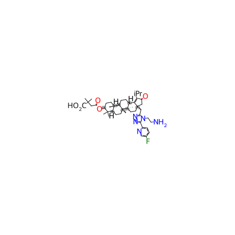 CC(C)C1=C2[C@H]3CC[C@@H]4[C@@]5(C)CC[C@H](OC(=O)CC(C)(C)C(=O)O)C(C)(C)[C@@H]5CC[C@@]4(C)[C@]3(C)CC[C@@]2(Cc2nnc(-c3ccc(F)cn3)n2CCN)CC1=O